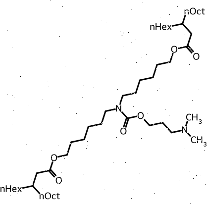 CCCCCCCCC(CCCCCC)CC(=O)OCCCCCCN(CCCCCCOC(=O)CC(CCCCCC)CCCCCCCC)C(=O)OCCCN(C)C